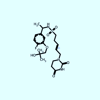 CC(NS(=O)(=O)CC/C=C/CN1CCC(=O)NC1=O)c1ccc(F)c(OCC(C)(C)O)c1